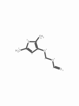 Cc1cc(OCOC=O)c(C)s1